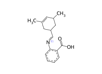 CC1=CC(C)CC(/C=N/c2ccccc2C(=O)O)C1